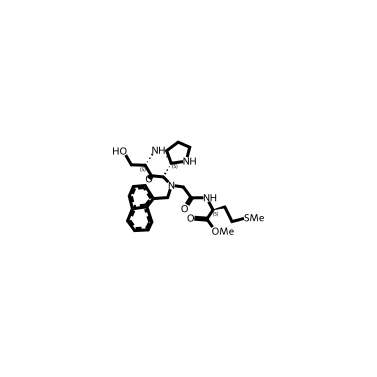 COC(=O)[C@H](CCSC)NC(=O)CN(Cc1cccc2ccccc12)C(C(=O)[C@@H](N)CO)[C@@H]1CCCN1